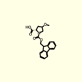 COC1C[C@@H](C(=O)O)N(C(=O)OCC2c3ccccc3-c3ccccc32)C1